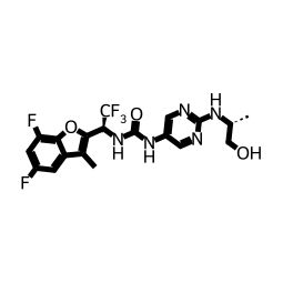 Cc1c([C@H](NC(=O)Nc2cnc(N[C@H](C)CO)nc2)C(F)(F)F)oc2c(F)cc(F)cc12